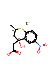 C[C@@H]1C[C@@](O)(CC(=O)[O-])c2cc([N+](=O)[O-])ccc2S1.[K+]